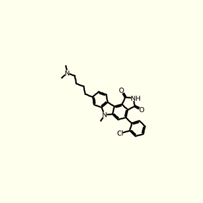 CN(C)CCCCc1ccc2c3c4c(c(-c5ccccc5Cl)cc3n(C)c2c1)C(=O)NC4=O